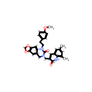 COc1ccc(CCNC(=O)N(Cc2ccc3c(c2)OCO3)Cc2cc3cc(C)cc(C)c3[nH]c2=O)cc1